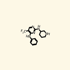 FC(F)(F)c1cnc(NC2CCCNC2)nc1Nc1ccccc1